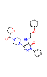 O=C(C1CCCO1)N1CCN(c2cnn(-c3ccccc3)c(=O)c2NCCOc2ccccc2)CC1